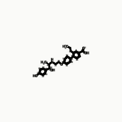 CCCc1cc(C(=O)O)ccc1-c1ccc(OCCN[C@H](C)[C@@H](O)c2ccc(O)cc2)cc1